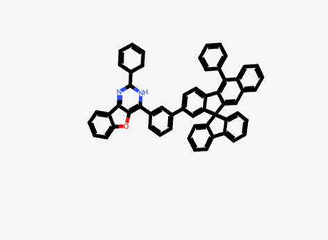 C1=CCC(C2N=c3c(oc4ccccc34)=C(c3cccc(-c4ccc5c(c4)C4(c6ccccc6-c6ccccc64)c4cc6ccccc6c(-c6ccccc6)c4-5)c3)N2)C=C1